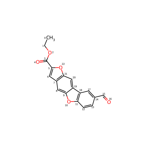 CCOC(=O)c1cc2cc3oc4ccc(C=O)cc4c3cc2o1